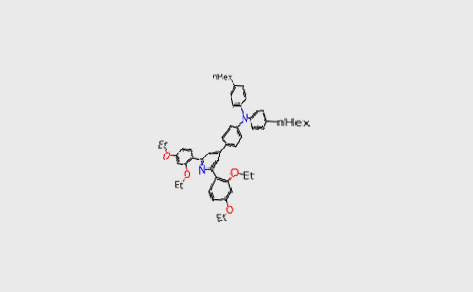 CCCCCCc1ccc(N(c2ccc(CCCCCC)cc2)c2ccc(-c3cc(-c4ccc(OCC)cc4OCC)nc(-c4ccc(OCC)cc4OCC)c3)cc2)cc1